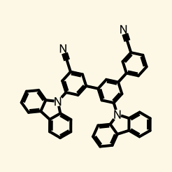 N#Cc1cccc(-c2cc(-c3cc(C#N)cc(-n4c5ccccc5c5ccccc54)c3)cc(-n3c4ccccc4c4ccccc43)c2)c1